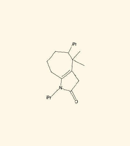 CC(C)C1CCCC2=C(CC(=O)N2C(C)C)C1(C)C